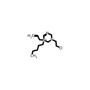 C=CC[N+]1(CCCCC)C=NCN(CCCl)C1